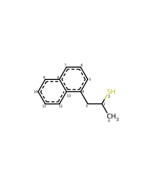 CC(S)Cc1cccc2ccccc12